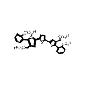 O=C(O)Cc1cc(-c2ccc(-c3cc(CC(=O)O)c(-c4ccccc4C(=O)O)s3)s2)sc1-c1ccccc1C(=O)O